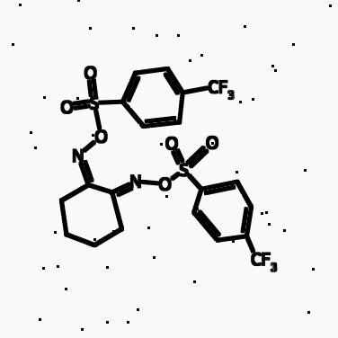 O=S(=O)(ON=C1CCCCC1=NOS(=O)(=O)c1ccc(C(F)(F)F)cc1)c1ccc(C(F)(F)F)cc1